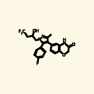 Cc1nn(CC(O)CC(F)(F)F)c(-c2ccc(F)cc2)c1-c1ccc2c(c1)NC(=O)CO2